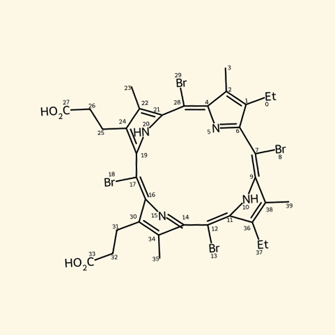 CCC1=C(C)c2nc1c(Br)c1[nH]c(c(Br)c3nc(c(Br)c4[nH]c(c(C)c4CCC(=O)O)c2Br)C(CCC(=O)O)=C3C)c(CC)c1C